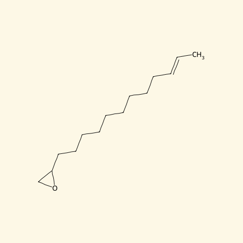 CC=CCCCCCCCCCC1CO1